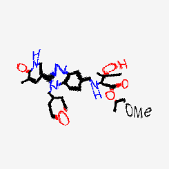 COCC(C)OC(=O)C(NCc1ccc2c(c1)nc(-c1c[nH]c(=O)c(C)c1)n2CC1CCOCC1)C(C)(C)O